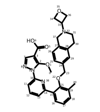 COc1c(C(=O)O)cnn1-c1cccc(-c2cccc(C)c2OCc2ccc3c(c2)CCN(C2COC2)C3)n1